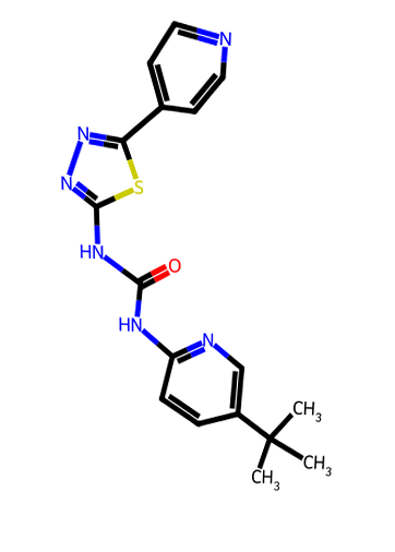 CC(C)(C)c1ccc(NC(=O)Nc2nnc(-c3ccncc3)s2)nc1